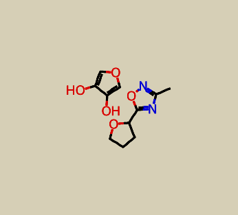 Cc1noc(C2CCCO2)n1.Oc1cocc1O